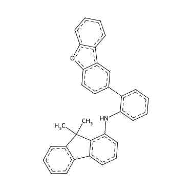 CC1(C)c2ccccc2-c2cccc(Nc3ccccc3-c3ccc4oc5ccccc5c4c3)c21